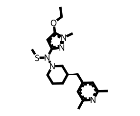 CCOc1cc(N(SC)N2CCC[C@H](Cc3cc(C)nc(C)c3)C2)nn1C